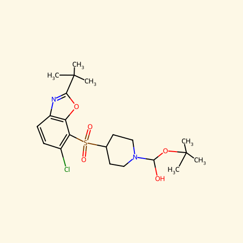 CC(C)(C)OC(O)N1CCC(S(=O)(=O)c2c(Cl)ccc3nc(C(C)(C)C)oc23)CC1